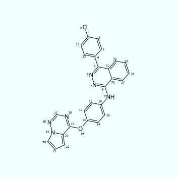 Clc1ccc(-c2nnc(Nc3ccc(Oc4ncnn5cccc45)cc3)c3ccccc23)cc1